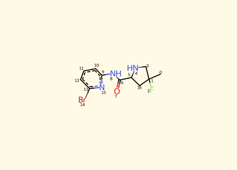 CC1(F)CNC(C(=O)Nc2cccc(Br)n2)C1